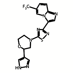 FC(F)(F)c1ccc2ncc(-c3nsc(N4CCOC(c5cn[nH]c5)C4)n3)n2c1